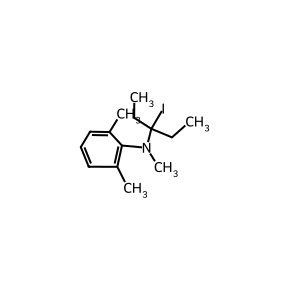 CCC(I)(CC)N(C)c1c(C)cccc1C